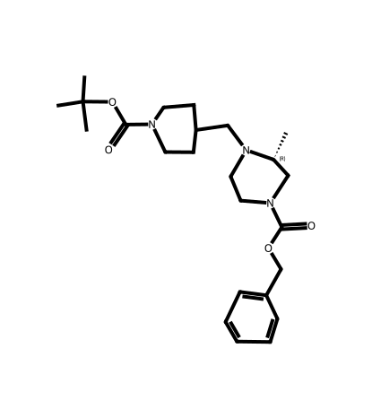 C[C@@H]1CN(C(=O)OCc2ccccc2)CCN1CC1CCN(C(=O)OC(C)(C)C)CC1